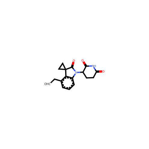 O=CCc1cccc2c1C1(CC1)C(=O)N2C1CCC(=O)NC1=O